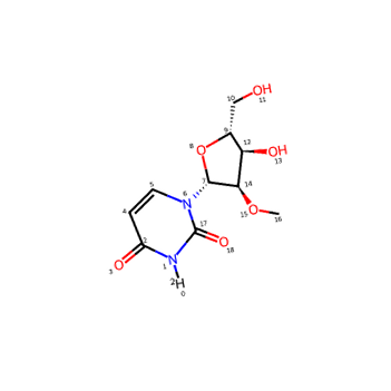 [2H]n1c(=O)ccn([C@@H]2O[C@H](CO)[C@@H](O)[C@H]2OC)c1=O